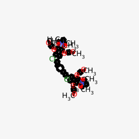 COc1ccc(Oc2cc3c4c(cc(Oc5ccc(OC)cc5)c5c6ccc(-c7cc8cc9c(cc8cc7Cl)/C=C\c7cc(c8cc(-c%10ccc%11c%12c(Oc%13ccc(OC)cc%13)cc%13c%14c(cc(Oc%15ccc(OC)cc%15)c(c%15cccc%10c%15%11)c%14%12)C(=O)N(c%10c(C(C)C)cccc%10C(C)C)C%13=O)c(Cl)cc8c7)/C=C\9)c7cccc(c2c45)c76)C(=O)N(c2c(C(C)C)cccc2C(C)C)C3=O)cc1